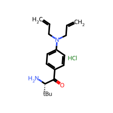 C=CCN(CC=C)c1ccc(C(=O)[C@@H](N)C(C)(C)C)cc1.Cl